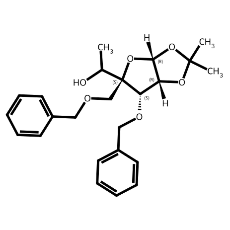 CC(O)[C@]1(COCc2ccccc2)O[C@@H]2OC(C)(C)O[C@@H]2[C@@H]1OCc1ccccc1